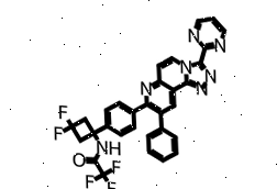 O=C(NC1(c2ccc(-c3nc4ccn5c(-c6ncccn6)nnc5c4cc3-c3ccccc3)cc2)CC(F)(F)C1)C(F)(F)F